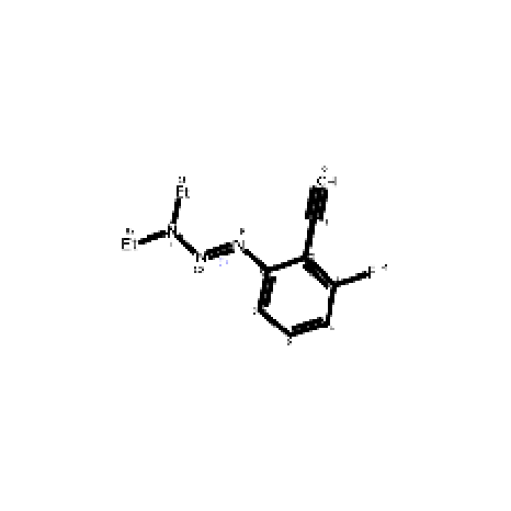 C#Cc1c(F)cccc1/N=N/N(CC)CC